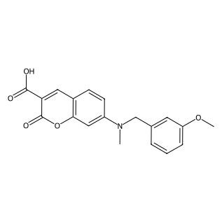 COc1cccc(CN(C)c2ccc3cc(C(=O)O)c(=O)oc3c2)c1